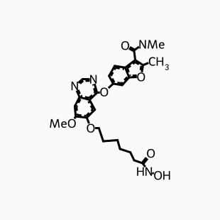 CNC(=O)c1c(C)oc2cc(Oc3ncnc4cc(OC)c(OCCCCCCC(=O)NO)cc34)ccc12